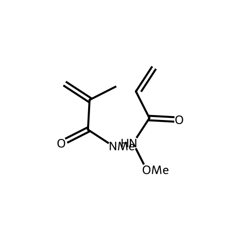 C=C(C)C(=O)NC.C=CC(=O)NOC